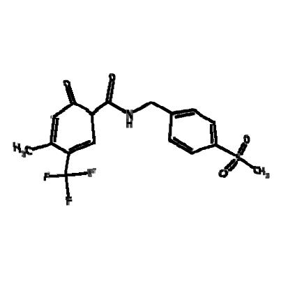 CC1=[C]C(=O)C(C(=O)NCc2ccc(S(C)(=O)=O)cc2)C=C1C(F)(F)F